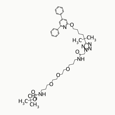 CC(C)(C)OC(=O)NCCCOCCOCCOCCCNC(=O)Cn1nnc(C(C)(C)CCCCOc2cc(-c3ccccc3)cc(-c3ccccc3)n2)n1